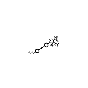 COC(C)(C(F)F)[C@H](NC(=O)c1ccc(C#Cc2ccc(CN)cc2)cc1)C(=O)NO